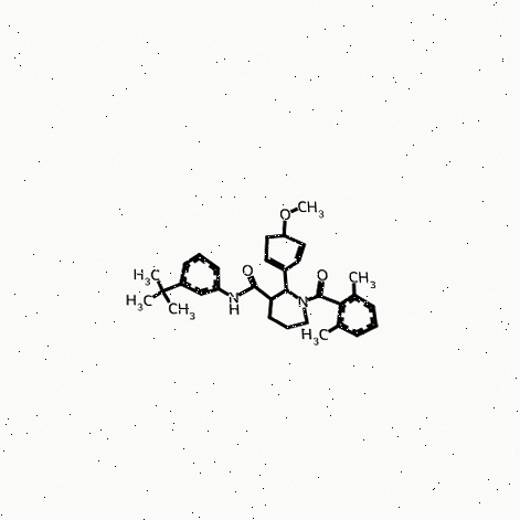 COC1C=CC(C2C(C(=O)Nc3cccc(C(C)(C)C)c3)CCCN2C(=O)c2c(C)cccc2C)=CC1